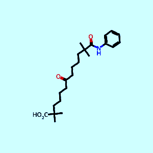 CC(C)(CCCCC(=O)CCCCC(C)(C)C(=O)Nc1ccccc1)C(=O)O